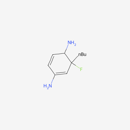 CCCCC1(F)C=C(N)C=CC1N